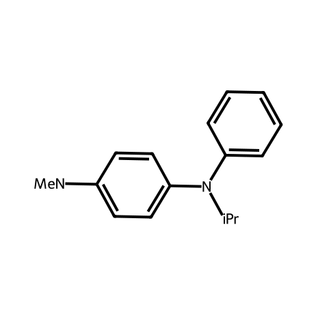 CNc1ccc(N(c2ccccc2)C(C)C)cc1